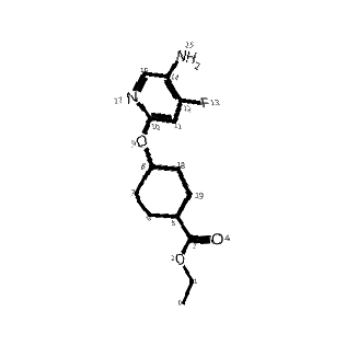 CCOC(=O)C1CCC(Oc2cc(F)c(N)cn2)CC1